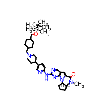 CN(C)C(=O)c1cc2cnc(Nc3ccc(C4CCN(CC5CCC(CO[Si](C)(C)C(C)(C)C)CC5)CC4)cn3)nc2n1C1CCCC1